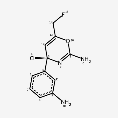 NC1=N[C@](Cl)(c2cccc(N)c2)C=C(CF)O1